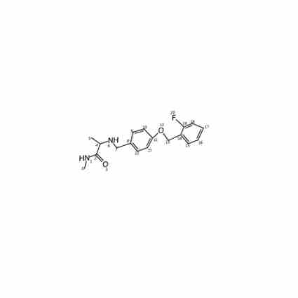 CNC(=O)C(C)NCc1ccc(OCc2ccccc2F)cc1